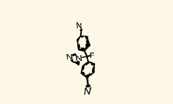 N#Cc1ccc(C(F)(c2ccc(C#N)cc2)n2ccnc2)cc1